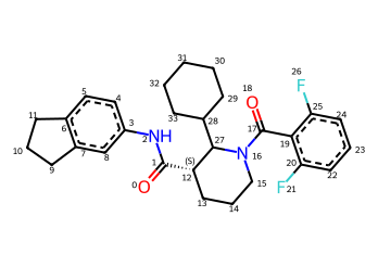 O=C(Nc1ccc2c(c1)CCC2)[C@H]1CCCN(C(=O)c2c(F)cccc2F)C1C1CCCCC1